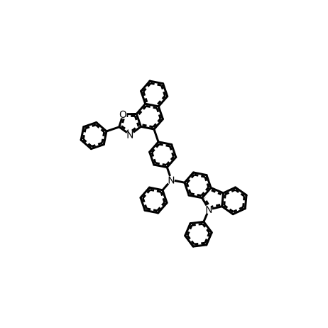 c1ccc(-c2nc3c(-c4ccc(N(c5ccccc5)c5ccc6c7ccccc7n(-c7ccccc7)c6c5)cc4)cc4ccccc4c3o2)cc1